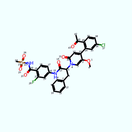 COc1cn(C(Cc2ccccc2)C(=O)Nc2ccc(C(=O)NS(C)(=O)=O)c(F)c2)c(=O)cc1-c1cc(Cl)ccc1C(C)=O